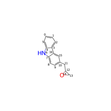 c1ccc2c(c1)[nH]c1ccc(CC3CO3)cc12